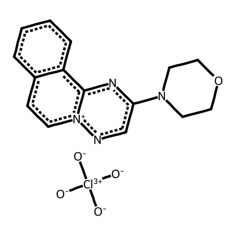 [O-][Cl+3]([O-])([O-])[O-].c1ccc2c(c1)cc[n+]1ncc(N3CCOCC3)nc21